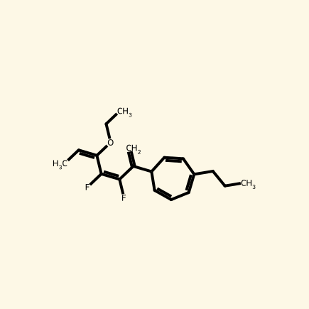 C=C(/C(F)=C(F)\C(=C/C)OCC)C1C=CC=C(CCC)C=C1